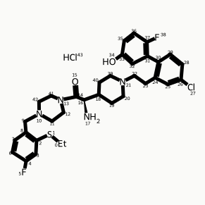 CCSc1cc(F)ccc1CN1CCN(C(=O)[C@H](N)C2CCN(CCc3cc(Cl)ccc3-c3cc(O)ccc3F)CC2)CC1.Cl